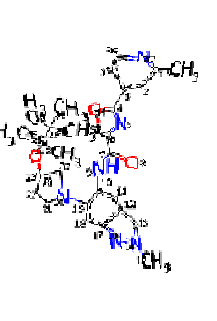 Cc1cc(-c2nc(C(=O)Nc3cc4cn(C)nc4cc3N3CC[C@@H](O[Si](C)(C)C(C)(C)C)C3)co2)ccn1